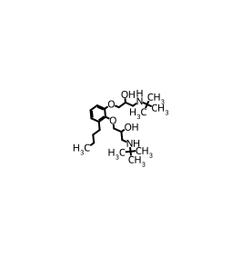 CCCCc1cccc(OCC(O)CNC(C)(C)C)c1OCC(O)CNC(C)(C)C